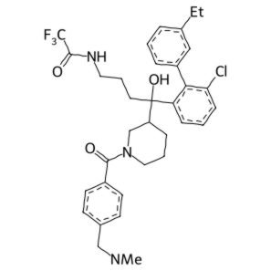 CCc1cccc(-c2c(Cl)cccc2C(O)(CCCNC(=O)C(F)(F)F)C2CCCN(C(=O)c3ccc(CNC)cc3)C2)c1